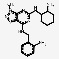 Cn1nnc2c(NCc3ccccc3N)nc(NC3CCCCC3N)nc21